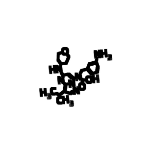 CC(C)c1cnn2c(N(Cc3cccc(N)c3)C(=O)O)cc(NC3CCOCC3)nc12